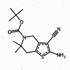 CC(C)(C)OC(=O)N1Cc2c(sc(N)c2C#N)CC1(C)C